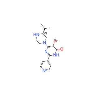 CC(C)[C@H]1CN(c2nc(-c3ccncc3)[nH]c(=O)c2Br)CCN1